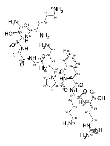 C[C@H](NC(=O)[C@@H](NC(=O)[C@@H](N)CCCCN)[C@@H](O)CN)C(=O)NCC(=O)N[C@H](CCCN)C(=O)N1CCC[C@H]1C(=O)N[C@@H](Cc1ccc(F)cc1)C(=O)N[C@@H](CCCCN)C(=O)N/C(=C\CCNC(=N)N)C(=O)O